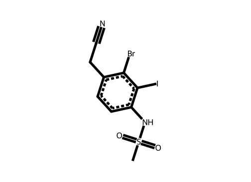 CS(=O)(=O)Nc1ccc(CC#N)c(Br)c1I